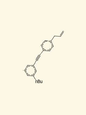 C=CCc1ccc(C#Cc2c[c]cc(CCCC)c2)cc1